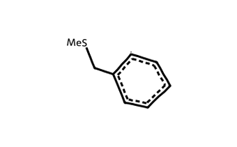 CSCc1[c]cccc1